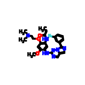 C=CC(=O)Nc1cc(Nc2ncc3cnc(-c4cccc(F)c4)n3n2)c(OC)cc1OCCN(C)C